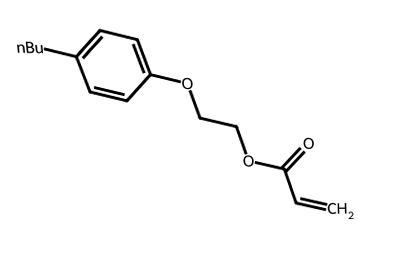 C=CC(=O)OCCOc1ccc(CCCC)cc1